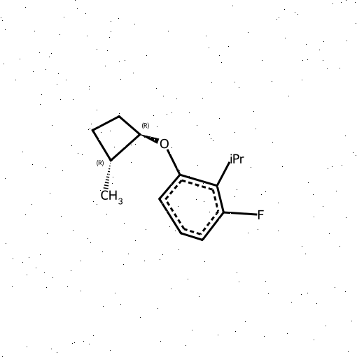 CC(C)c1c(F)cccc1O[C@@H]1CC[C@H]1C